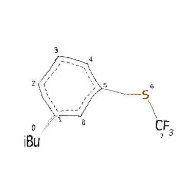 CC[C@@H](C)c1cccc(SC(F)(F)F)c1